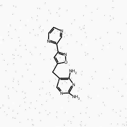 Nc1ncc(Cc2cc(-c3cnccn3)no2)c(N)n1